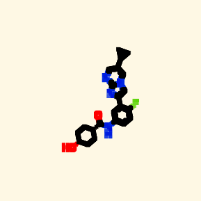 O=C(Nc1ccc(F)c(-c2cn3cc(C4CC4)cnc3n2)c1)[C@H]1CC[C@@H](O)CC1